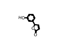 O=C1C=CC(c2cccc(O)c2)O1